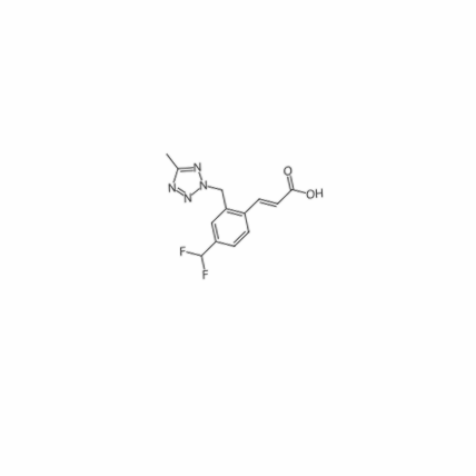 Cc1nnn(Cc2cc(C(F)F)ccc2C=CC(=O)O)n1